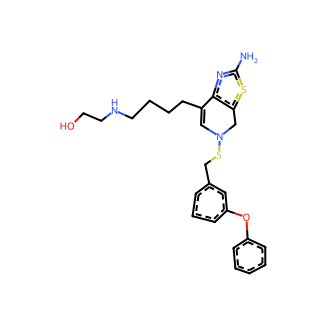 Nc1nc2c(s1)CN(SCc1cccc(Oc3ccccc3)c1)C=C2CCCCNCCO